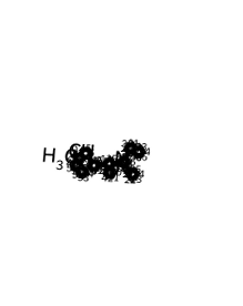 CC1(C)c2cccc(-c3cccc(-c4ccc(-c5nc(-c6ccccc6)cc(-c6cccc7ccccc67)n5)c5ccccc45)c3)c2-c2c1ccc1ccccc21